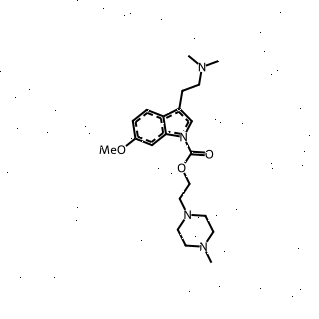 COc1ccc2c(CCN(C)C)cn(C(=O)OCCN3CCN(C)CC3)c2c1